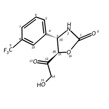 O=C1N[C@@H](c2cccc(C(F)(F)F)c2)[C@H](C(=O)CO)O1